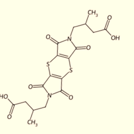 CC(CC(=O)O)Cn1c(=O)c2sc3c(=O)n(CC(C)CC(=O)O)c(=O)c3sc2c1=O